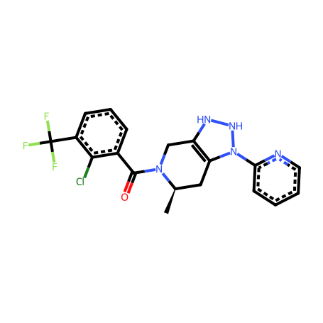 C[C@@H]1CC2=C(CN1C(=O)c1cccc(C(F)(F)F)c1Cl)NNN2c1ccccn1